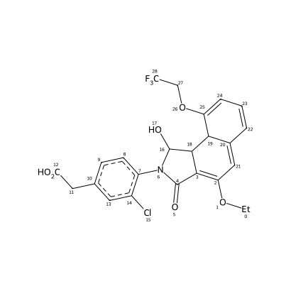 CCOC1=C2C(=O)N(c3ccc(CC(=O)O)cc3Cl)C(O)C2C2C(=C1)C=CC=C2OCC(F)(F)F